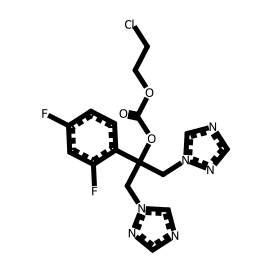 O=C(OCCCl)OC(Cn1cncn1)(Cn1cncn1)c1ccc(F)cc1F